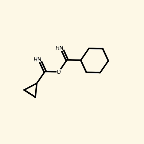 N=C(OC(=N)C1CC1)C1CCCCC1